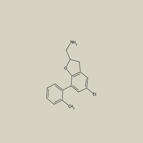 CCc1cc2c(c(-c3ccccc3C)c1)OC(CN)C2